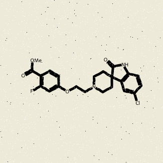 COC(=O)c1ccc(OCCN2CCC3(CC2)C(=O)Nc2ccc(Cl)cc23)cc1F